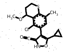 COC1CCSc2c(C)cc(C3=C(C4CC4)ONC3=C=O)c(Cl)c21